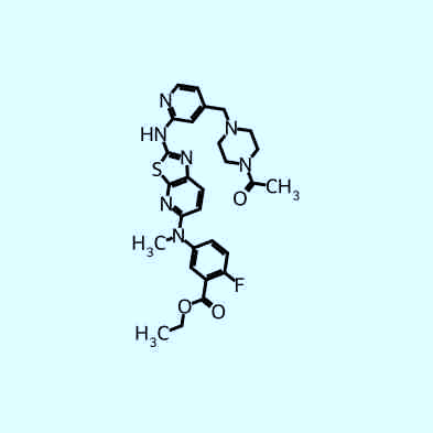 CCOC(=O)c1cc(N(C)c2ccc3nc(Nc4cc(CN5CCN(C(C)=O)CC5)ccn4)sc3n2)ccc1F